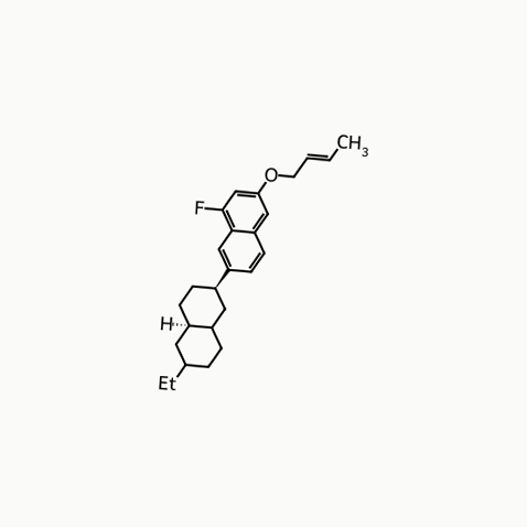 C/C=C/COc1cc(F)c2cc([C@@H]3CC[C@@H]4CC(CC)CCC4C3)ccc2c1